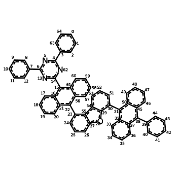 c1ccc(-c2nc(-c3ccccc3)nc(-c3c4ccccc4c(-c4cccc5oc6c(-c7c8ccccc8c(-c8ccccc8)c8ccccc78)cccc6c45)c4ccccc34)n2)cc1